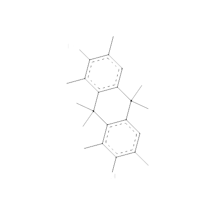 Cc1cc2c(c(C)c1O)C(C)(C)c1c(cc(C)c(O)c1C)C2(C)C